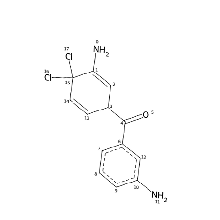 NC1=CC(C(=O)c2cccc(N)c2)C=CC1(Cl)Cl